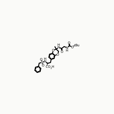 CC(C)(C)OC(=O)NCC(=O)NC1(C)COc2cc(C[C@H](NS(=O)(=O)Cc3ccccc3)C(=O)O)ccc2O1